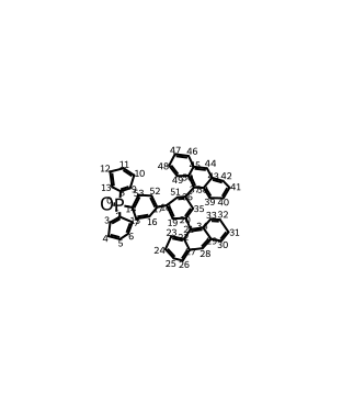 O=P(c1ccccc1)(c1ccccc1)c1ccc(-c2cc(-c3c4ccccc4cc4ccccc34)cc(-c3c4ccccc4cc4ccccc34)c2)cc1